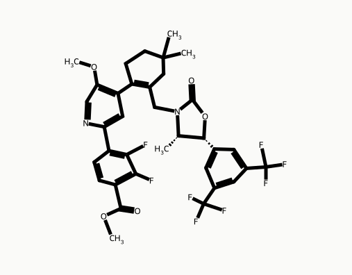 COC(=O)c1ccc(-c2cc(C3=C(CN4C(=O)O[C@H](c5cc(C(F)(F)F)cc(C(F)(F)F)c5)[C@@H]4C)CC(C)(C)CC3)c(OC)cn2)c(F)c1F